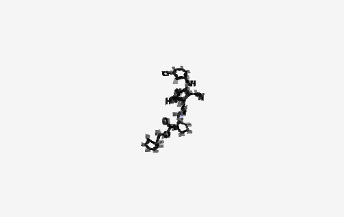 N#Cc1c(Nc2cccc(Cl)c2)n[nH]c1/N=C/C1CCCN1C(=O)OCc1ccccc1